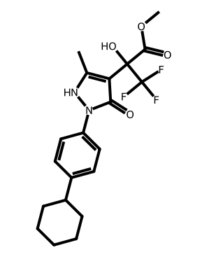 COC(=O)C(O)(c1c(C)[nH]n(-c2ccc(C3CCCCC3)cc2)c1=O)C(F)(F)F